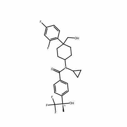 C[C@](O)(c1ccc(C(=O)N(C2CC2)C2CCC(CO)(c3ccc(F)cc3F)CC2)cc1)C(F)(F)F